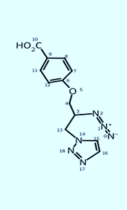 [N-]=[N+]=NC(COc1ccc(C(=O)O)cc1)Cn1ccnn1